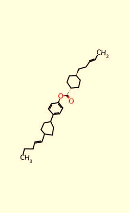 C/C=C/CC[C@H]1CC[C@H](C(=O)Oc2ccc(C3CCC(/C=C/CCC)CC3)cc2)CC1